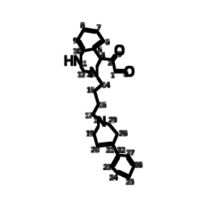 O=CC(=O)C1c2ccccc2NCN1CCCCN1CC=C(c2ccccc2)CC1